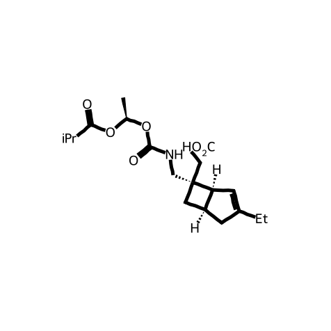 CCC1=C[C@H]2[C@@H](C1)C[C@@]2(CNC(=O)O[C@H](C)OC(=O)C(C)C)CC(=O)O